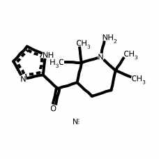 CC1(C)CCC(C(=O)c2ncc[nH]2)C(C)(C)N1N.[N]